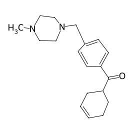 CN1CCN(Cc2ccc(C(=O)C3CC=CCC3)cc2)CC1